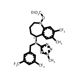 CCOC(=O)ON1CCC[C@H](N(Cc2cc(C(F)(F)F)cc(C(F)(F)F)c2)c2nnn(C)n2)c2cc(C)c(C(F)(F)F)cc21